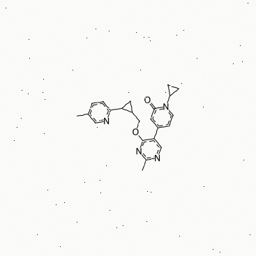 Cc1ccc(C2CC2COc2nc(C)ncc2-c2ccn(C3CC3)c(=O)c2)nc1